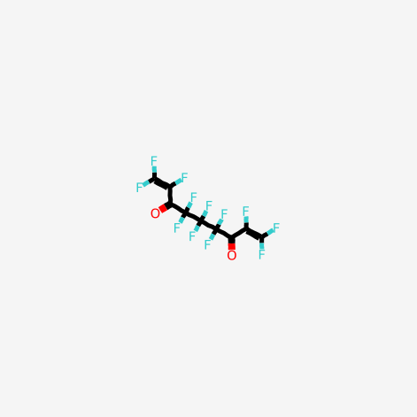 O=C(C(F)=C(F)F)C(F)(F)C(F)(F)C(F)(F)C(=O)C(F)=C(F)F